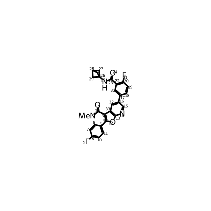 CNC(=O)c1c(-c2ccc(F)cc2)oc2ncc(-c3ccc(F)c(C(=O)NC45CC(C4)C5)c3)cc12